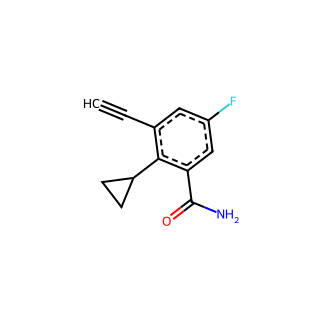 C#Cc1cc(F)cc(C(N)=O)c1C1CC1